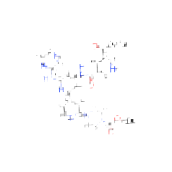 COC(=O)c1cncc(C(=O)Nc2cc(Nc3cnccn3)nc(-c3ccnc(N4CCN(C(=O)OC(C)(C)C)CC4)c3)c2)c1